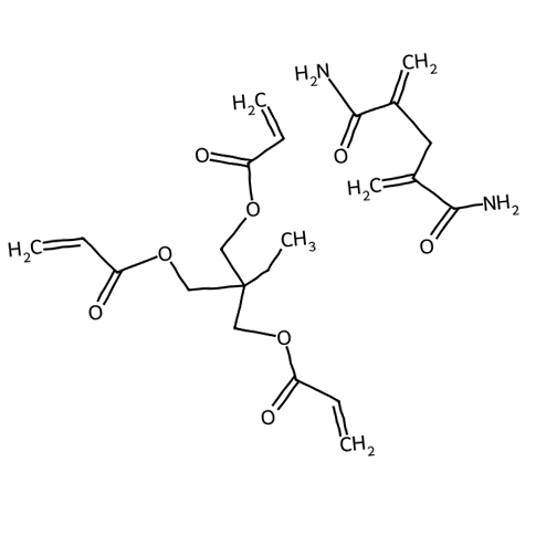 C=C(CC(=C)C(N)=O)C(N)=O.C=CC(=O)OCC(CC)(COC(=O)C=C)COC(=O)C=C